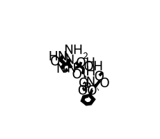 COC(=O)[C@H](C)NP(=O)(OC[C@H]1OC(n2cnc3c(=O)[nH]c(N)nc32)C(C)(O)C1O)Oc1ccccc1